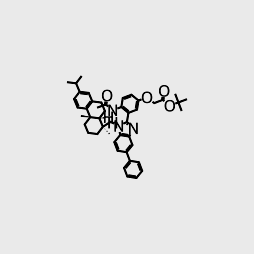 CC(=O)Nc1ccc(OCC(=O)OC(C)(C)C)cc1-c1nc2cc(-c3ccccc3)ccc2n1C[C@@]1(C)CCC[C@]2(C)c3ccc(C(C)C)cc3CC[C@@H]12